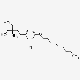 CCCCCCCCCOc1ccc(CCC(N)(CO)CO)cc1.Cl